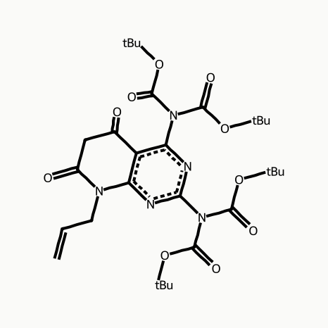 C=CCN1C(=O)CC(=O)c2c1nc(N(C(=O)OC(C)(C)C)C(=O)OC(C)(C)C)nc2N(C(=O)OC(C)(C)C)C(=O)OC(C)(C)C